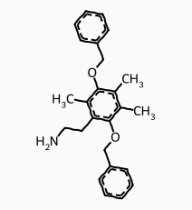 Cc1c(C)c(OCc2ccccc2)c(CCN)c(C)c1OCc1ccccc1